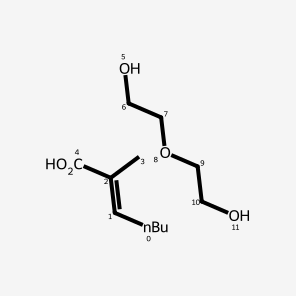 CCCCC=C(C)C(=O)O.OCCOCCO